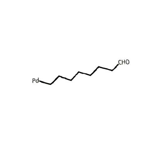 O=CCCCCCC[CH2][Pd]